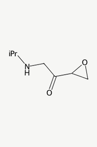 CC(C)NCC(=O)C1CO1